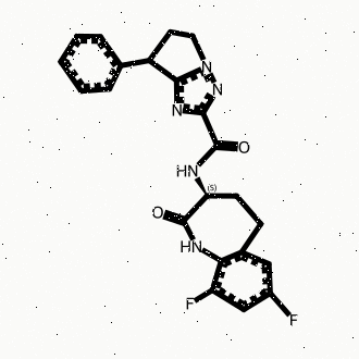 O=C(N[C@H]1CCc2cc(F)cc(F)c2NC1=O)c1nc2n(n1)CCC2c1ccccc1